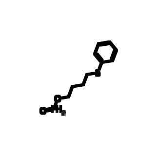 O=[PH2]OCCCCSc1ccccc1